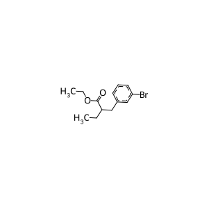 CCOC(=O)C(CC)Cc1cccc(Br)c1